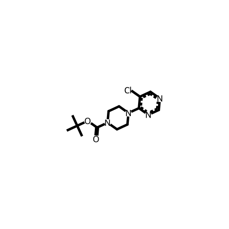 CC(C)(C)OC(=O)N1CCN(c2ncncc2Cl)CC1